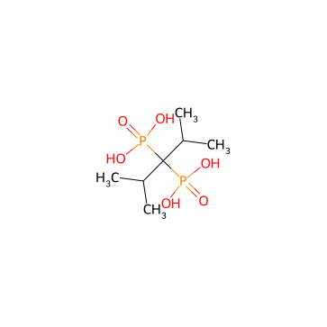 CC(C)C(C(C)C)(P(=O)(O)O)P(=O)(O)O